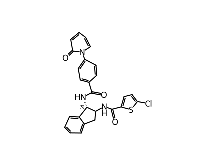 O=C(N[C@H]1c2ccccc2CC1NC(=O)c1ccc(Cl)s1)c1ccc(-n2ccccc2=O)cc1